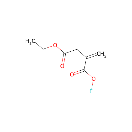 C=C(CC(=O)OCC)C(=O)OF